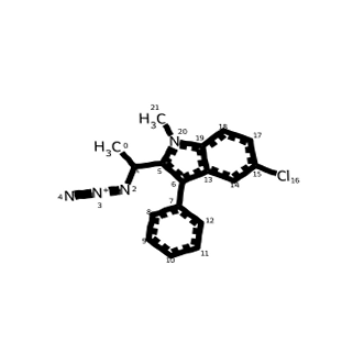 CC(N=[N+]=[N-])c1c(-c2ccccc2)c2cc(Cl)ccc2n1C